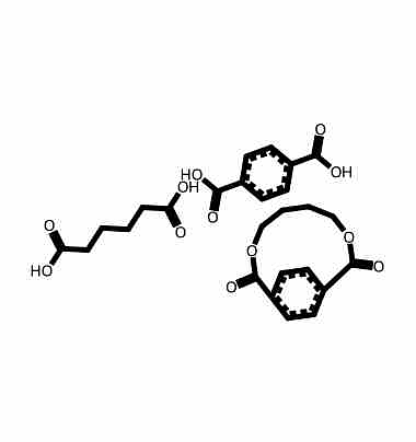 O=C(O)CCCCC(=O)O.O=C(O)c1ccc(C(=O)O)cc1.O=C1OCCCCOC(=O)c2ccc1cc2